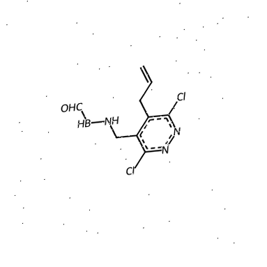 C=CCc1c(Cl)nnc(Cl)c1CNBC=O